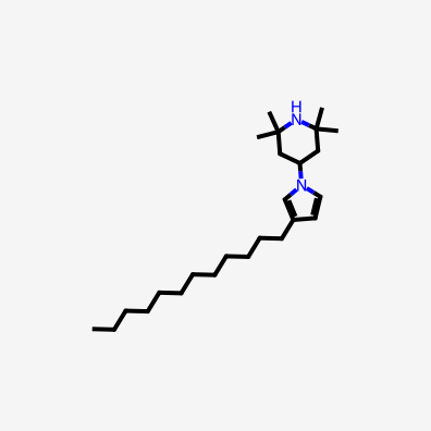 CCCCCCCCCCCCc1ccn(C2CC(C)(C)NC(C)(C)C2)c1